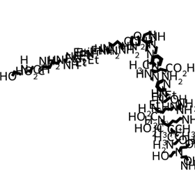 C1CCNCC1.C1CNCCN1.C1COCCN1.CC(C)N.CCN(CC)CC.CCNCC.CCNCCO.CC[N+](CC)(CC)CC.C[N+](C)(C)C.Cc1ccccn1.N.N=C(N)NCCC[C@H](N)C(=O)O.N=C(N)NCCC[C@H](N)C(=O)O.NCCCC[C@H](N)C(=O)O.NCCO.N[C@@H](Cc1c[nH]cn1)C(=O)O.N[C@@H](Cc1c[nH]cn1)C(=O)O.OCCN(CCO)CCO.OCCNCCO.c1ccncc1